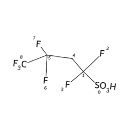 O=S(=O)(O)C(F)(F)CC(F)(F)C(F)(F)F